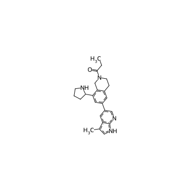 CCC(=O)N1CCc2cc(-c3cnc4[nH]cc(C)c4c3)cc(C3CCCN3)c2C1